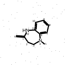 C=C1CCN(C)c2ccccc2N1